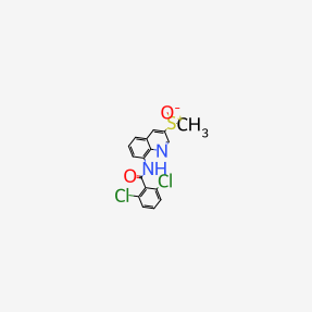 C[S+]([O-])c1cnc2c(NC(=O)c3c(Cl)cccc3Cl)cccc2c1